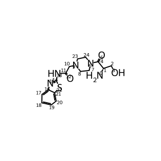 N[C@H](CO)C(=O)N1CCN(CC(=O)Nc2nc3ccccc3s2)CC1